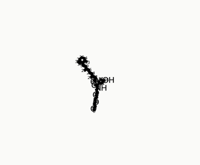 COCCOCCOCCNC(=O)C1CC(O)CN1C(=O)/C=C(C)/C=C/C=C(C)/C=C/C1=C(C)CCCC1(C)C